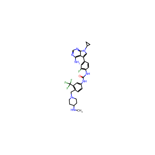 CNC1CCN(Cc2ccc(NC(=O)Nc3ccc(-c4cn(C5CC5)c5ncnc(N)c45)cc3F)cc2C(F)(F)F)CC1